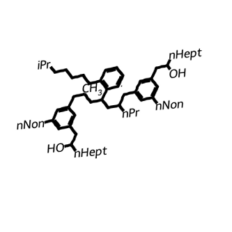 CCCCCCCCCc1cc(CC(C)CC(CC(CCC)Cc2cc(CCCCCCCCC)cc(CC(O)CCCCCCC)c2)c2[c]cccc2CCCCCC(C)C)cc(CC(O)CCCCCCC)c1